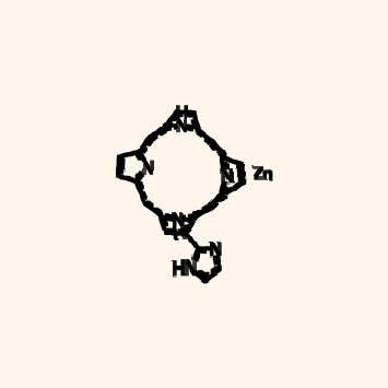 C1=Cc2cc3cc(-c4ncc[nH]4)c(cc4nc(cc5ccc(cc1n2)[nH]5)C=C4)[nH]3.[Zn]